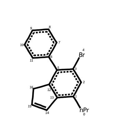 CCCc1cc(Br)c(-c2ccccc2)c2c1C=CC2